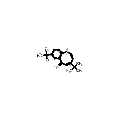 C=C1/C=C(C(C)(C)C)\C=C/Nc2ccc(C(C)(C)C)cc21